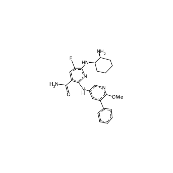 COc1ncc(Nc2nc(N[C@@H]3CCCC[C@@H]3N)c(F)cc2C(N)=O)cc1-c1ccccc1